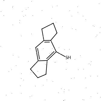 Sc1c2c(cc3c1CCC3)CCC2